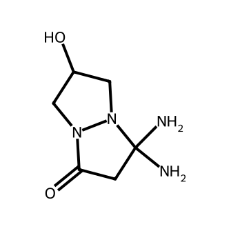 NC1(N)CC(=O)N2CC(O)CN21